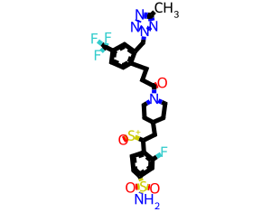 Cc1nnn(Cc2cc(C(F)(F)F)ccc2CCC(=O)N2CCC(CC([S+]=O)c3ccc(S(N)(=O)=O)cc3F)CC2)n1